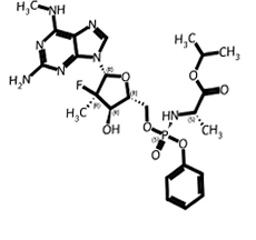 CNc1nc(N)nc2c1ncn2[C@@H]1O[C@H](CO[P@@](=O)(N[C@@H](C)C(=O)OC(C)C)Oc2ccccc2)[C@@H](O)[C@@]1(C)F